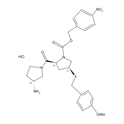 COc1ccc(CS[C@H]2C[C@@H](C(=O)N3CC[C@@H](N)C3)N(C(=O)OCc3ccc([N+](=O)[O-])cc3)C2)cc1.Cl